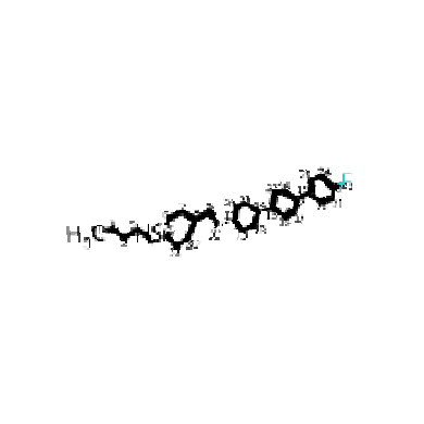 CCCCC[SiH]1CCC(CC[C@H]2CC[C@H](c3ccc(-c4ccc(F)cc4)cc3)CC2)CC1